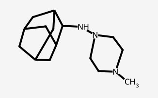 CN1CCN(NC2C3CC4CC(C3)CC2C4)CC1